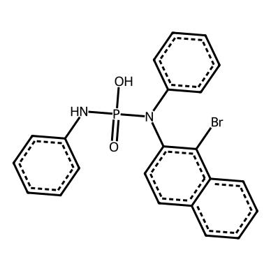 O=P(O)(Nc1ccccc1)N(c1ccccc1)c1ccc2ccccc2c1Br